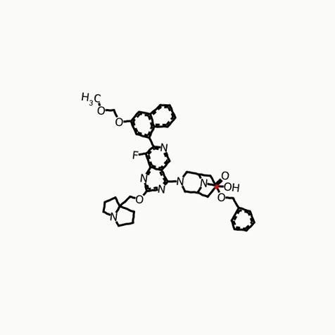 COCOc1cc(-c2ncc3c(N4CC5CC(O)CC(C4)N5C(=O)OCc4ccccc4)nc(OCC45CCCN4CCC5)nc3c2F)c2ccccc2c1